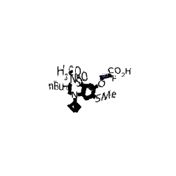 CCCC[C@H]1CN(C23CC(C2)C3)c2cc(SC)c(O/C=C(\F)C(=O)O)cc2S(=O)(=O)N1C